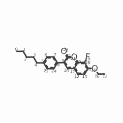 CCCCCc1ccc(-c2cc3ccc(OCC)c(F)c3oc2=O)cc1